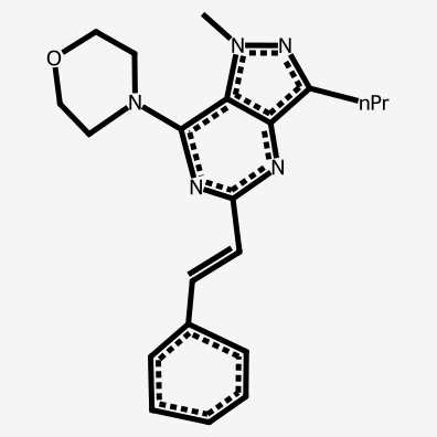 CCCc1nn(C)c2c(N3CCOCC3)nc(C=Cc3ccccc3)nc12